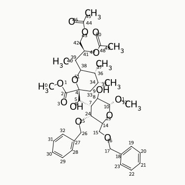 COC(=O)[C@@]1(C(O)[C@@H]2C(O)[C@H](OC)OC(COCc3ccccc3)[C@@H]2OCc2ccccc2)C[C@@H](C)[C@@H](C)C([C@H](C)[C@@H](COC(C)=O)OC(C)=O)O1